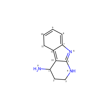 NC1CCNC2=NC3=CC=CCC3=C21